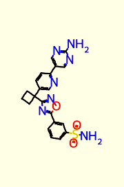 Nc1ncc(-c2ccc(C3(c4noc(-c5cccc(S(N)(=O)=O)c5)n4)CCC3)cn2)cn1